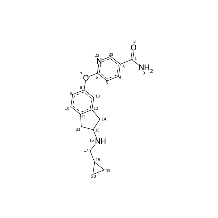 NC(=O)c1ccc(Oc2ccc3c(c2)CC(NCC2CC2)C3)nc1